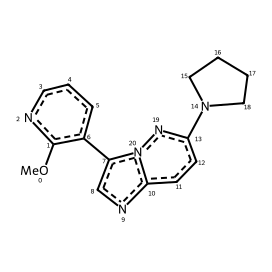 COc1ncccc1-c1cnc2ccc(N3CCCC3)nn12